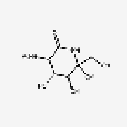 CC(=O)NC1C(=O)NC(O)(CO)[C@@H](O)[C@@H]1O